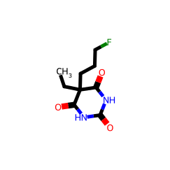 CCC1(CCCF)C(=O)NC(=O)NC1=O